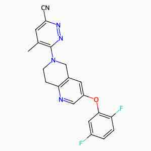 Cc1cc(C#N)nnc1N1CCc2ncc(Oc3cc(F)ccc3F)cc2C1